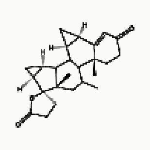 CC1C[C@@]2(C)C(C3C1[C@@]1(C)CCC(=O)C=C1[C@@H]1C[C@H]31)[C@@H]1C[C@@H]1[C@@]21CCC(=O)O1